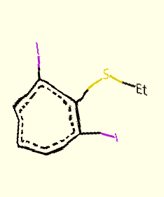 [CH2]CSc1c(I)cccc1I